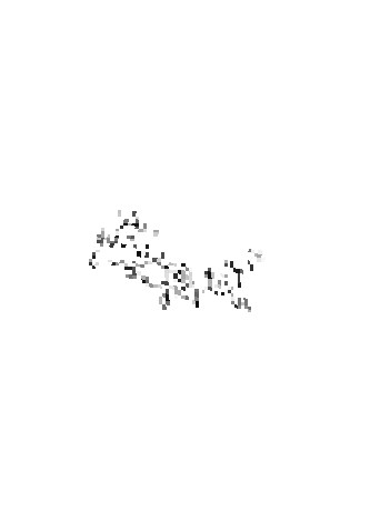 C=C(C)[C@@H]1CC[C@]2(C=O)CC[C@]3(C)[C@H](CC[C@@H]4[C@@]5(C)CC[C@H](OC(=O)CC(C)(C)CC(=O)OC)C(C)(C)[C@@H]5CC[C@]43C)[C@@H]12